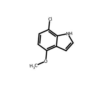 COc1ccc(Cl)c2[nH]ccc12